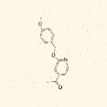 COc1ccc(COc2cc(C(C)=O)ccn2)cc1